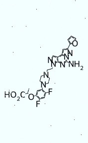 CC(Oc1cc(N2CCN(CCn3ncc4c3nc(N)n3nc(-c5ccco5)cc43)CC2)c(F)cc1F)C(=O)O